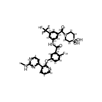 CNc1nccc(-c2cccnc2Oc2ccc(F)c(C(=O)Nc3cc(C(=O)N4CCS(O)(O)CC4)cc(C(F)(F)F)c3)c2)n1